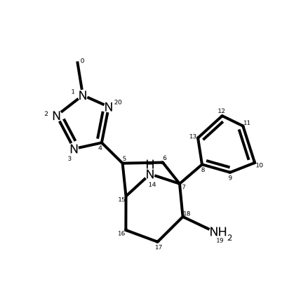 Cn1nnc(C2CC3(c4ccccc4)NC2CCC3N)n1